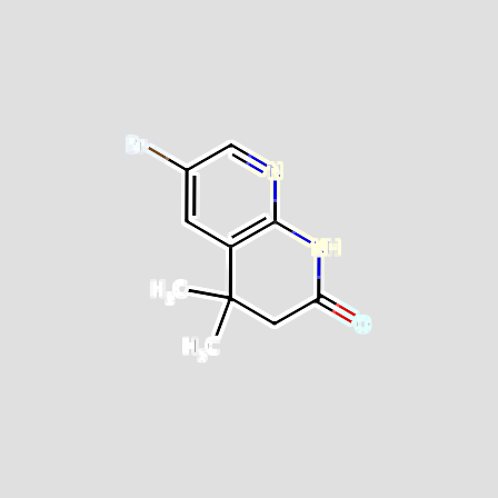 CC1(C)CC(=O)Nc2ncc(Br)cc21